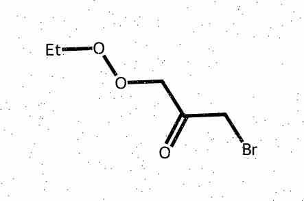 CCOOCC(=O)CBr